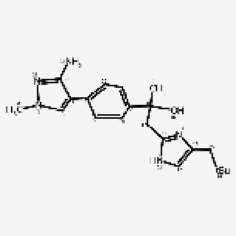 Cn1cc(-c2ccc(C(C)(O)Cc3nc(CC(C)(C)C)c[nH]3)cc2)c(N)n1